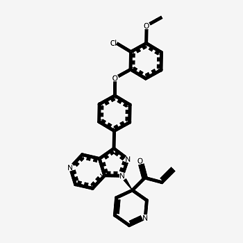 C=CC(=O)[C@@]1(n2nc(-c3ccc(Oc4cccc(OC)c4Cl)cc3)c3cnccc32)C=CC=NC1